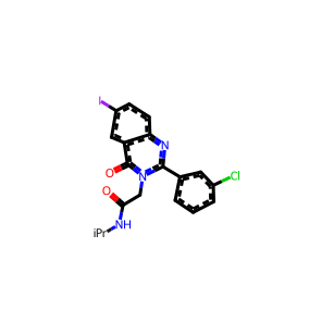 CC(C)NC(=O)Cn1c(-c2cccc(Cl)c2)nc2ccc(I)cc2c1=O